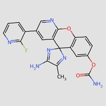 CC1=NC2(N=C1N)c1cc(OC(N)=O)ccc1Oc1ncc(-c3cccnc3F)cc12